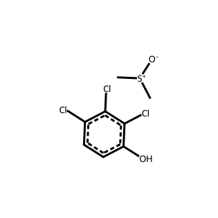 C[S+](C)[O-].Oc1ccc(Cl)c(Cl)c1Cl